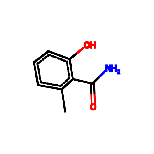 Cc1cccc(O)c1C(N)=O